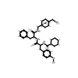 CCOc1ccc(CC(NC(=O)C2CCCCC2)C(=O)NC(Cc2ccccc2)C(=O)NCC23CCC(CN)(CC2)CC3)cc1